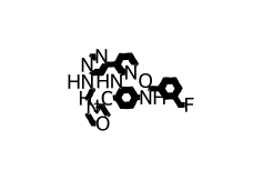 Cc1ccc(NC(=O)c2cccc(CF)c2)cc1Nc1ncccc1-c1cc(NCCN2CCOCC2)ncn1